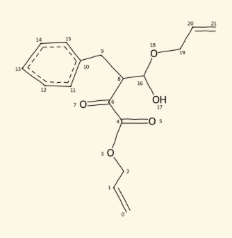 C=CCOC(=O)C(=O)C(Cc1ccccc1)C(O)OCC=C